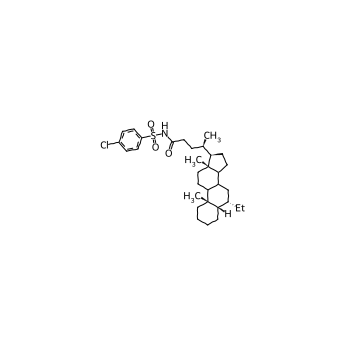 CC[C@H]1CC2C3CC[C@H]([C@H](C)CCC(=O)NS(=O)(=O)c4ccc(Cl)cc4)[C@@]3(C)CCC2[C@@]2(C)CCCC[C@@H]12